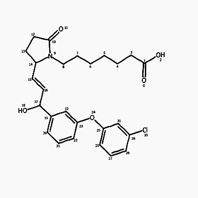 O=C(O)CCCCCCN1C(=O)CCC1C=CC(O)c1cccc(Oc2cccc(Cl)c2)c1